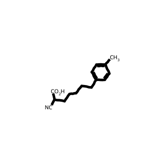 Cc1ccc(CCCCCC(C#N)C(=O)O)cc1